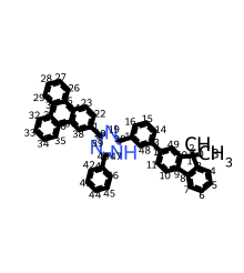 CC1(C)c2ccccc2-c2ccc(-c3cccc(C4=NC(c5ccc6c7ccccc7c7ccccc7c6c5)=NC(c5ccccc5)N4)c3)cc21